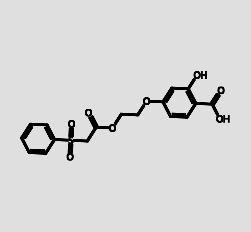 O=C(CS(=O)(=O)c1ccccc1)OCCOc1ccc(C(=O)O)c(O)c1